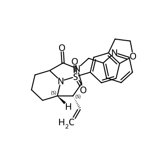 C=C[C@H]1CN(Cc2ccccn2)C(=O)C2CCC[C@@H]1N2S(=O)(=O)c1ccc2c(c1)CCO2